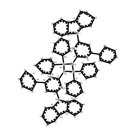 c1ccc(-c2cc(-n3c4ccccc4c4ccccc43)nc(N3[Si](c4ccccc4)(c4ccccc4)N(c4nc(-c5ccccc5)cc(-n5c6ccccc6c6ccccc65)n4)[Si]3(c3ccccc3)c3ccccc3)n2)cc1